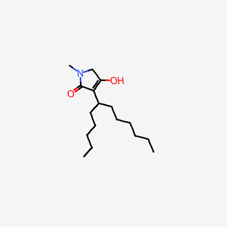 CCCCCCC(CCCCC)C1=C(O)CN(C)C1=O